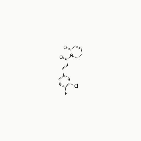 O=C1C=CCCN1C(=O)C=Cc1ccc(F)c(Cl)c1